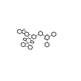 c1ccc(-c2cc(-c3ccccc3)nc(-c3cccc(-c4ccc5c(c4)-c4cc6oc7ccccc7c6cc4C54c5ccccc5C5(c6ccccc6-c6ccccc65)c5ccccc54)c3)n2)cc1